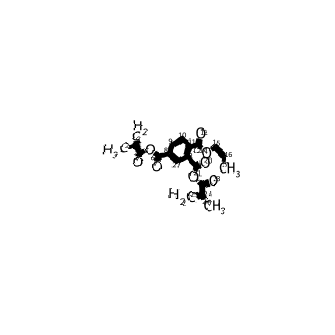 C=C(C)C(=O)OC(=O)c1ccc(C(=O)O/C=C\C)c(C(=O)OC(=O)C(=C)C)c1